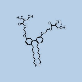 C=C(CO)C(=O)OCCOc1ccc(CCCCCCF)c(-c2cc(OCCOC(=O)C(=C)CO)ccc2CCCCCCF)c1